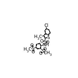 Cc1c(S(=O)(=O)Nc2ccc(S(C)(=O)=O)cc2S(C)(=O)=O)sc2ccc(Cl)cc12